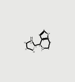 c1cc2c(s1)CCO[C@H]2[C@@H]1CCCN1